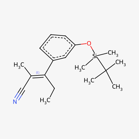 CC/C(=C(/C)C#N)c1cccc(O[Si](C)(C)C(C)(C)C)c1